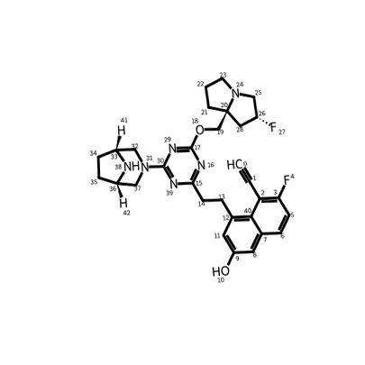 C#Cc1c(F)ccc2cc(O)cc(CCc3nc(OC[C@@]45CCCN4C[C@H](F)C5)nc(N4C[C@H]5CC[C@@H](C4)N5)n3)c12